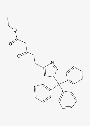 CCOC(=O)CC(=O)CCc1cn(C(c2ccccc2)(c2ccccc2)c2ccccc2)nn1